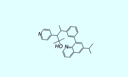 CC(C)c1cc(-c2cccc(C(C)C(c3ccncc3)C(C)(C)O)c2)c2ncccc2c1